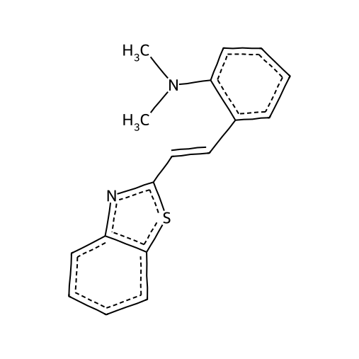 CN(C)c1ccccc1C=Cc1nc2ccccc2s1